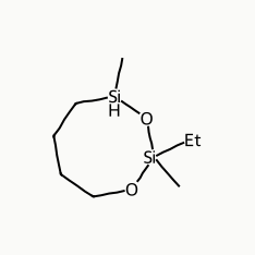 CC[Si]1(C)OCCCC[SiH](C)O1